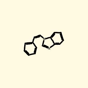 [c]1nc2ccccc2n1/C=C\c1ccccc1